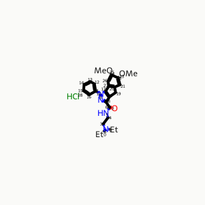 CCN(CC)CCNC(=O)c1nn(-c2ccccc2)c2c1Cc1cc(OC)c(OC)cc1-2.Cl